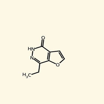 CCc1n[nH]c(=O)c2ccoc12